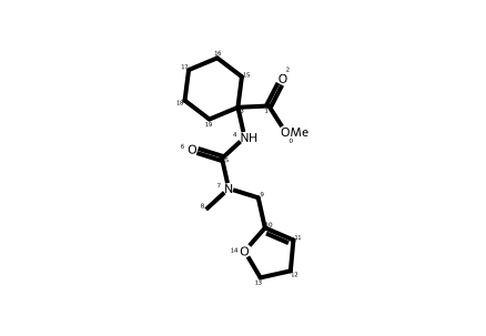 COC(=O)C1(NC(=O)N(C)CC2=CCCO2)CCCCC1